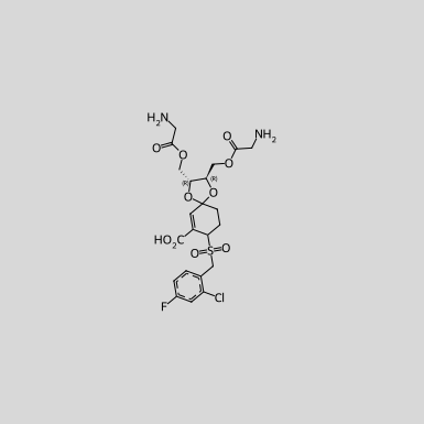 NCC(=O)OC[C@H]1OC2(C=C(C(=O)O)C(S(=O)(=O)Cc3ccc(F)cc3Cl)CC2)O[C@@H]1COC(=O)CN